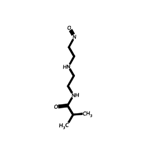 CC(C)C(=O)NCCNCCN=O